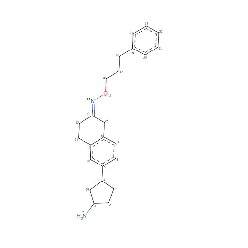 NC1CCC(c2ccc3c(c2)CC/C(=N/OCCCc2ccccc2)C3)C1